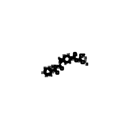 O=C(NC(=O)[C@@H]1CC12CCN(C(=O)OC(C(F)(F)F)C(F)(F)F)CC2)c1ccccc1